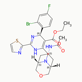 CCOC(=O)C1=C(CN2[C@@H]3COC[C@H]2C[C@@H](NC(C)=O)C3)NC(c2nccs2)=N[C@H]1c1ccc(F)cc1Br